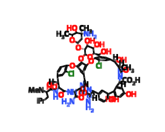 CN[C@H](CC(C)C)C(=O)NC1C(=O)NC(C(N)=O)C(=O)N[C@H]2C(=O)N[C@@H](C(N)=O)c3ccc(O)c(c3)-c3c(O)cc(O)cc3[C@@H](C(=O)O)NC(=O)[C@@H](C)[C@H](O)c3ccc(c(Cl)c3)Oc3cc2cc(c3O[C@@H]2O[C@H](CO)[C@@H](O)[C@H](O)[C@H]2O[C@H]2C[C@](C)(N)[C@H](O)[C@H](C)O2)Oc2ccc(cc2Cl)[C@H]1O